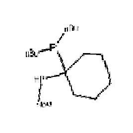 CCCCPC1(P(CCCC)CCCC)CCCCC1